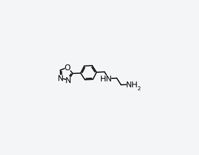 NCCNCc1ccc(-c2nnco2)cc1